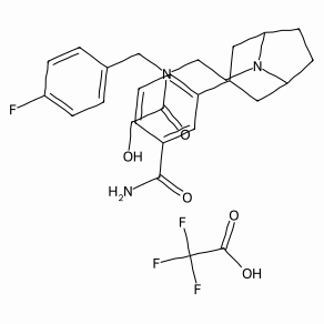 NC(=O)c1cccc(C2CC3CCC(C2)N3CCN(Cc2ccc(F)cc2)C(=O)CO)c1.O=C(O)C(F)(F)F